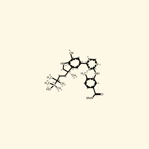 CNC(=O)c1ccc(C)c(Nc2ncnc(-c3cc(C#N)c4c(c3)[C@@](C)(CCC(C)(C)[Si](C)(C)O)CN4)n2)c1